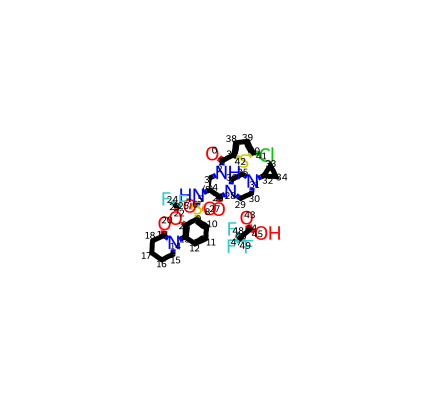 O=C(NC[C@H](NS(=O)(=O)c1cccc(N2CCCCC2=O)c1OC(F)F)C(=O)N1CCN(C2CC2)CC1)c1ccc(Cl)s1.O=C(O)C(F)(F)F